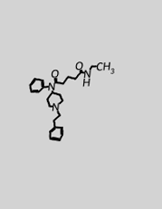 CCNC(=O)CCCC(=O)N(c1ccccc1)C1CCN(CCc2ccccc2)CC1